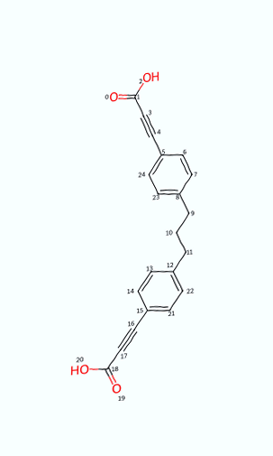 O=C(O)C#Cc1ccc(CCCc2ccc(C#CC(=O)O)cc2)cc1